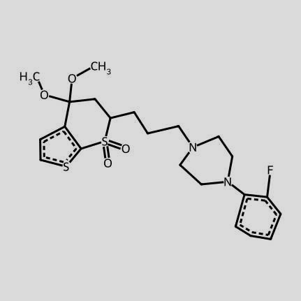 COC1(OC)CC(CCCN2CCN(c3ccccc3F)CC2)S(=O)(=O)c2sccc21